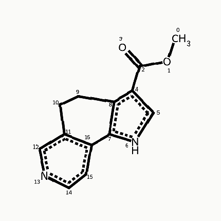 COC(=O)c1c[nH]c2c1CCc1cnccc1-2